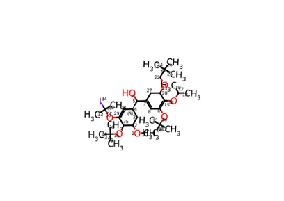 COC1C[C@H](C(O)C2=CC(OC(C)(C)C)=C(OC(C)C)C(OCC(C)(C)C)C2)C=C(OC(C)(C)I)C1OC(C)(C)C